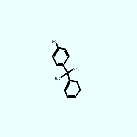 CC(C)(C1=CC=CCC1)c1ccc(O)cc1